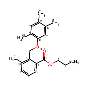 CCCOC(=O)c1cccc(C)c1COc1cc(C)c(C)cc1C